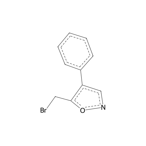 BrCc1oncc1-c1ccccc1